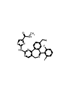 CNC(=O)c1csc(Nc2ncc3c(n2)-c2ccc(CI)cc2C(c2c(F)cccc2F)=NC3)n1